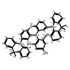 CC(C)c1cc(C(C)C)c(B2c3cc(N4c5ccccc5C(C)(C)c5ccccc54)ccc3Sc3ccc(N4c5ccccc5C(C)(C)c5ccccc54)cc32)c(C(C)C)c1